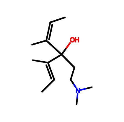 CC=C(C)C(O)(CCN(C)C)C(C)=CC